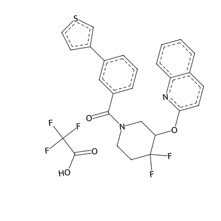 O=C(O)C(F)(F)F.O=C(c1cccc(-c2ccsc2)c1)N1CCC(F)(F)C(Oc2ccc3ccccc3n2)C1